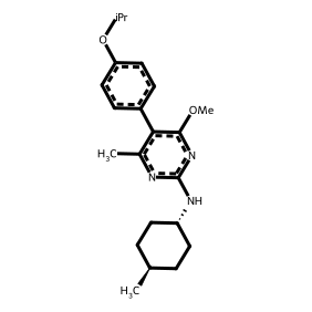 COc1nc(N[C@H]2CC[C@H](C)CC2)nc(C)c1-c1ccc(OC(C)C)cc1